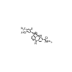 Cc1cc(F)c(Nc2ccnc3c2C(=O)Nc2cc(C(N)=O)ccc2N3)cc1O